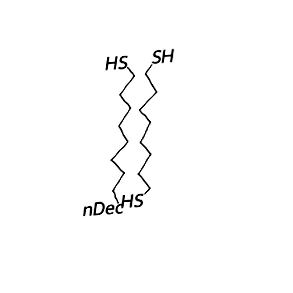 CCCCCCCCCCCCCCCCCCS.SCCCCCCCCS